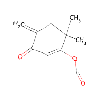 C=C1CC(C)(C)C(OC=O)=CC1=O